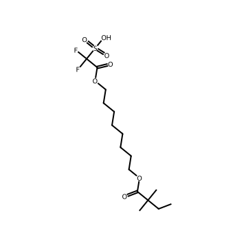 CCC(C)(C)C(=O)OCCCCCCCCOC(=O)C(F)(F)S(=O)(=O)O